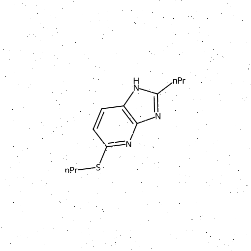 CCCSc1ccc2[nH]c(CCC)nc2n1